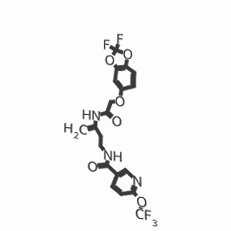 C=C(CCNC(=O)c1ccc(OC(F)(F)F)nc1)NC(=O)COc1ccc2c(c1)OC(F)(F)O2